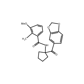 COc1cccc(C(=O)NC2(C(=O)c3ccc4c(c3)OCO4)CCCC2)c1C